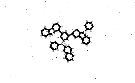 c1ccc(N(c2cc(-c3ccc4c(c3)c3ccccc3n4-c3ccccc3)cc(-c3cccc4c3oc3ccccc34)c2)c2ccc3ccccc3c2)cc1